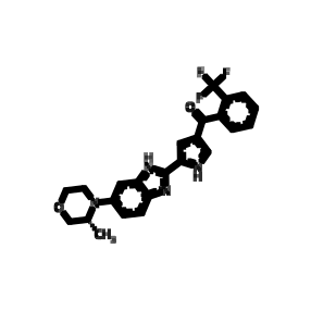 C[C@@H]1COCCN1c1ccc2nc(-c3cc(C(=O)c4ccccc4C(F)(F)F)c[nH]3)[nH]c2c1